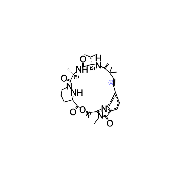 C=C1N[C@@H](C(C)C)C(=O)N[C@@H](C)C(=O)N2CCCC(N2)C(=O)O[C@H](C)c2nc3cc(ccc3c(=O)n2C)/C=C/C1(C)C